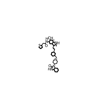 Cc1cc2[nH]nc(C=Cc3cccc(CN4CCC(n5c(=O)[nH]c6ccccc65)CC4)c3)c2cc1NC(=O)Cc1cccs1